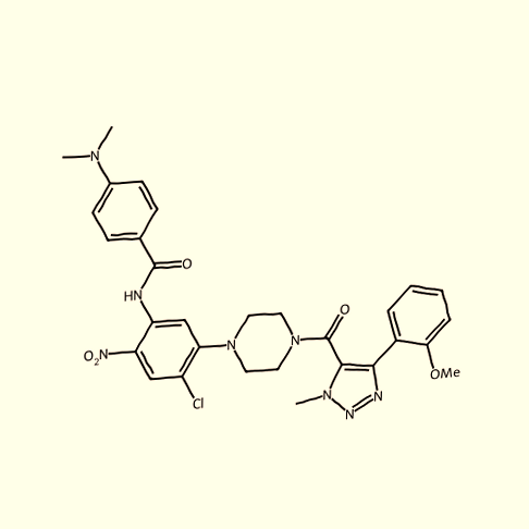 COc1ccccc1-c1nnn(C)c1C(=O)N1CCN(c2cc(NC(=O)c3ccc(N(C)C)cc3)c([N+](=O)[O-])cc2Cl)CC1